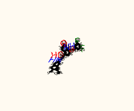 CCc1cc2c(cc1CC)CC(NC[C@@H](O)c1ccc(OCc3cc(F)cc(F)c3)c3[nH]c(=O)ccc13)C2